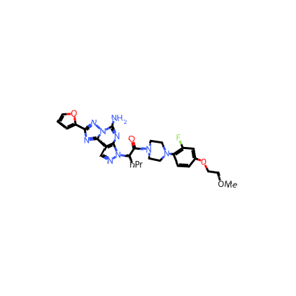 CCCC(C(=O)N1CCN(c2ccc(OCCOC)cc2F)CC1)n1ncc2c1nc(N)n1nc(-c3ccco3)nc21